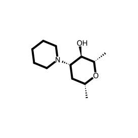 C[C@@H]1C[C@H](N2CCCCC2)[C@@H](O)[C@H](C)O1